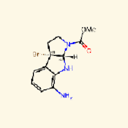 COC(=O)N1CC[C@]2(Br)c3cccc(N)c3N[C@@H]12